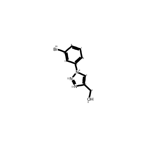 OCc1cn(-c2cccc(Br)c2)nn1